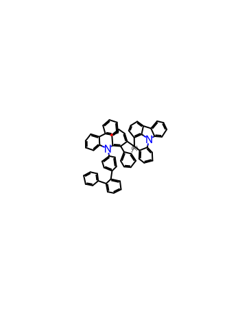 c1ccc(-c2ccccc2-c2ccc(N(c3ccccc3-c3ccccc3)c3cccc4c3-c3ccccc3[C@]43c4ccccc4-n4c5ccccc5c5cccc3c54)cc2)cc1